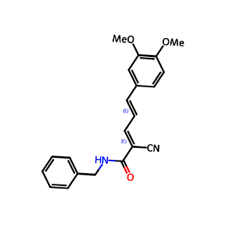 COc1ccc(/C=C/C=C(\C#N)C(=O)NCc2ccccc2)cc1OC